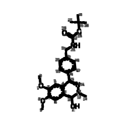 COc1cc2c(cc1OC)C(O)N(C)N=C2c1ccc(CNC(=O)OC(C)(C)C)cc1